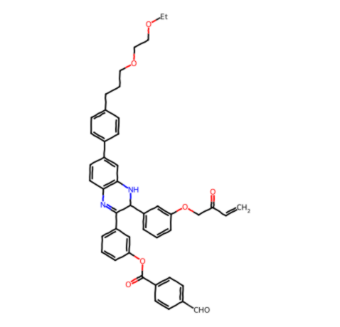 C=CC(=O)COc1cccc(C2Nc3cc(-c4ccc(CCCOCCOCC)cc4)ccc3N=C2c2cccc(OC(=O)c3ccc(C=O)cc3)c2)c1